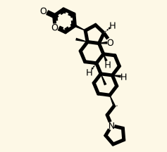 C[C@]12CC[C@H]([CH]CN3CCCC3)C[C@H]1CC[C@@H]1[C@@H]2CC[C@]2(C)[C@@H](c3ccc(=O)oc3)C[C@H]3O[C@]132